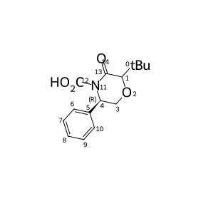 CC(C)(C)C1OC[C@@H](c2ccccc2)N(C(=O)O)C1=O